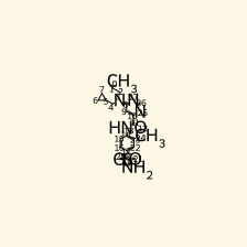 CCCN(CC1CC1)c1cc(C(=O)Nc2ccc(S(N)(=O)=O)cc2C)ncn1